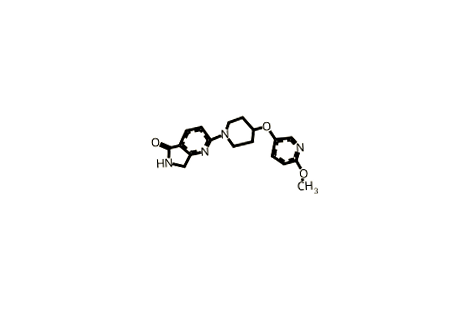 COc1ccc(OC2CCN(c3ccc4c(n3)CNC4=O)CC2)cn1